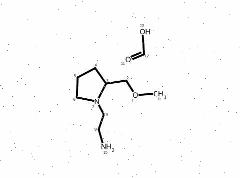 COCC1CCCN1CCN.O=CO